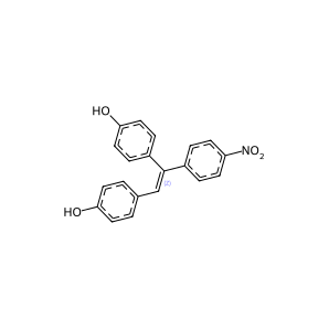 O=[N+]([O-])c1ccc(/C(=C/c2ccc(O)cc2)c2ccc(O)cc2)cc1